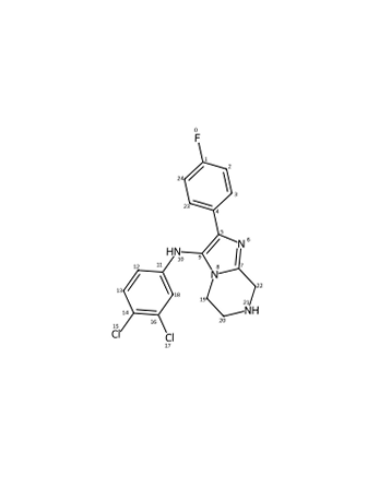 Fc1ccc(-c2nc3n(c2Nc2ccc(Cl)c(Cl)c2)CCNC3)cc1